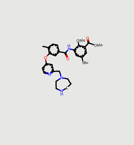 COC(=O)c1cc(C(C)(C)C)cc(NC(=O)c2ccc(C)c(Oc3ccnc(CN4CCCNCC4)c3)c2)c1OC